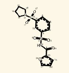 O=C(NS(=O)(=O)c1cccc(S(=O)(=O)N2CCCC2)c1)c1ccco1